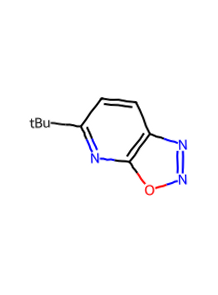 CC(C)(C)c1ccc2nnoc2n1